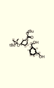 CC(C)(C)OC(=O)N1C[C@H](O[Si](C)(C)C(C)(C)C)C[C@H]1C(O)c1cccc(CO)c1